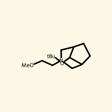 COCCN1CC2CCC(C1)C2OC(C)(C)C